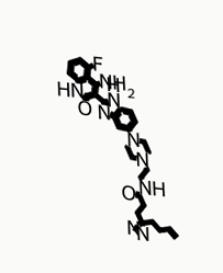 C=CCCC1(CCC(=O)NCCN2CCN(c3ccc4[nH]c(-c5c(N)c6c(F)cccc6[nH]c5=O)nc4c3)CC2)N=N1